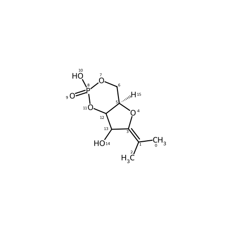 CC(C)=C1O[C@@H]2COP(=O)(O)OC2C1O